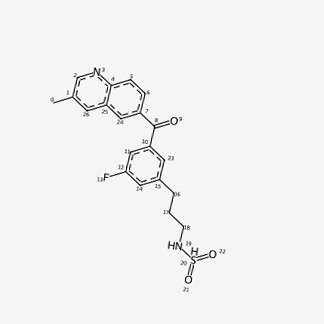 Cc1cnc2ccc(C(=O)c3cc(F)cc(CCCN[SH](=O)=O)c3)cc2c1